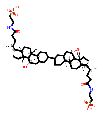 C[C@H](CCC(=O)NCCS(=O)(=O)O)[C@H]1CC[C@H]2C3[C@@H](O)CC4CC(C5CC[C@@]6(C)C(C5)C[C@H](O)C5[C@@H]7CC[C@H]([C@H](C)CCC(=O)NCCS(=O)(=O)O)[C@@]7(C)CC[C@@H]56)CC[C@]4(C)[C@H]3CC[C@]12C